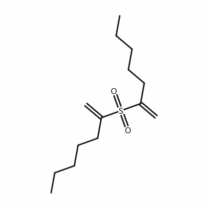 C=C(CCCCC)S(=O)(=O)C(=C)CCCCC